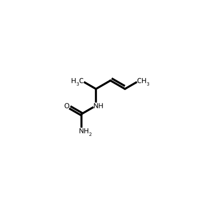 CC=CC(C)NC(N)=O